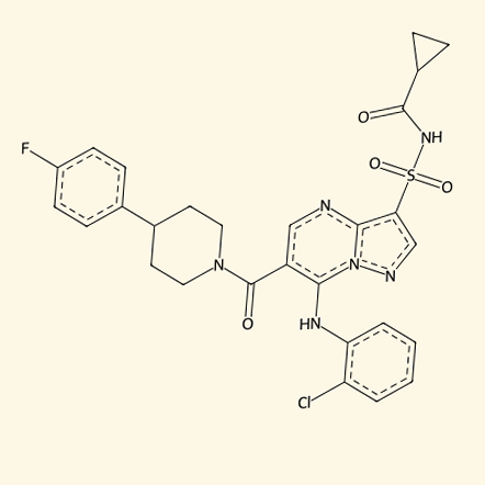 O=C(NS(=O)(=O)c1cnn2c(Nc3ccccc3Cl)c(C(=O)N3CCC(c4ccc(F)cc4)CC3)cnc12)C1CC1